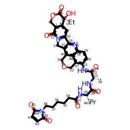 CC[C@@]1(O)C(=O)OCc2c1cc1n(c2=O)Cc2c-1nc1ccc(NC(=O)[C@H](C)NC(=O)[C@@H](NC(=O)CCCCCN3C(=O)C=CC3=O)C(C)C)c3c1c2COC3